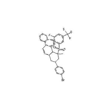 CC1(S(=O)(=O)c2cc(F)cc(C(F)(F)F)c2)CC(c2ccc(Br)cc2)CC2C=Cc3c(ccc4ccccc34)C21